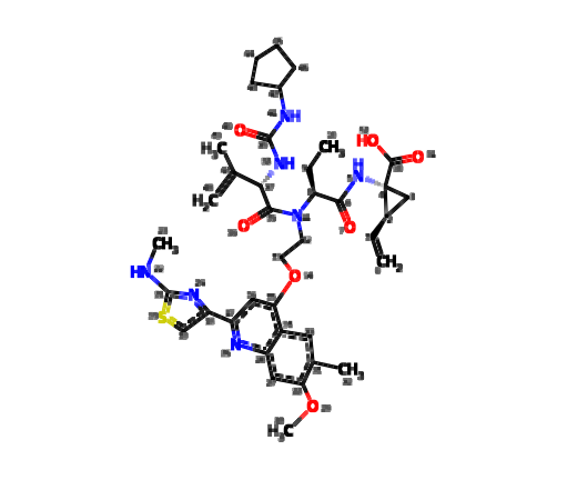 C=C[C@@H]1C[C@]1(NC(=O)[C@H](CC)N(CCOc1cc(-c2csc(NC)n2)nc2cc(OC)c(C)cc12)C(=O)[C@@H](NC(=O)NC1CCCC1)C(=C)C)C(=O)O